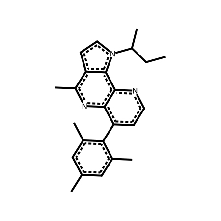 CCC(C)n1ccc2c(C)nc3c(-c4c(C)cc(C)cc4C)ccnc3c21